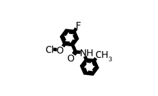 Cc1ccccc1NC(=O)c1cc(F)ccc1OCl